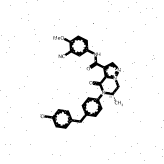 COc1ccc(NC(=O)c2cnn3c2C(=O)N(c2ccc(Cc4ccc(Cl)cc4)cc2)[C@@H](C)C3)cc1C#N